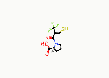 O=C(O)[C@@H]1CCCN1C(=O)C(CS)C(F)(F)F